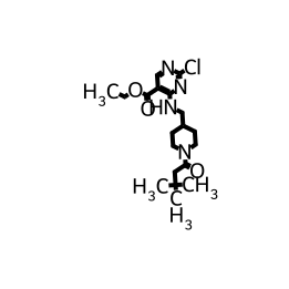 CCOC(=O)c1cnc(Cl)nc1NCC1CCN(C(=O)CC(C)(C)C)CC1